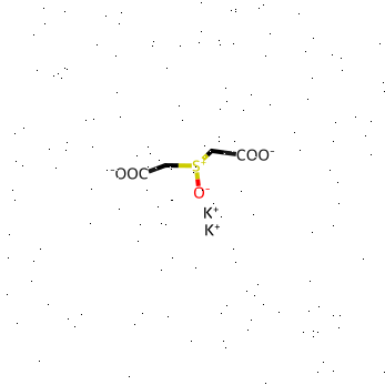 O=C([O-])C[S+]([O-])CC(=O)[O-].[K+].[K+]